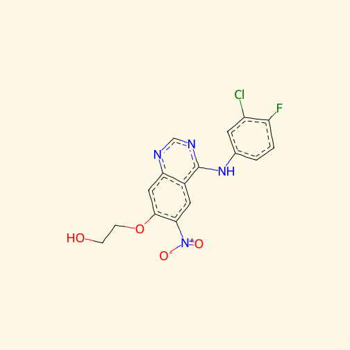 O=[N+]([O-])c1cc2c(Nc3ccc(F)c(Cl)c3)ncnc2cc1OCCO